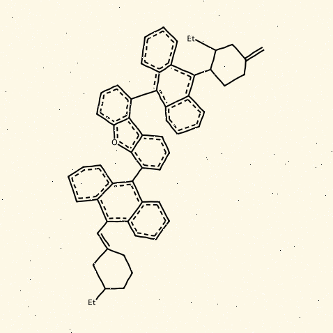 C=C1CCC(c2c3ccccc3c(-c3cccc4oc5c(-c6c7ccccc7c(/C=C7\CCCC(CC)C7)c7ccccc67)cccc5c34)c3ccccc23)C(CC)C1